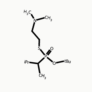 CC(C)C(C)P(=O)(OC(C)(C)C)SCCN(C)C